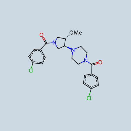 CO[C@H]1CN(C(=O)c2ccc(Cl)cc2)C[C@@H]1N1CCN(C(=O)c2ccc(Cl)cc2)CC1